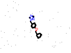 c1ccc(COc2ccc(Cn3cncn3)cc2)cc1